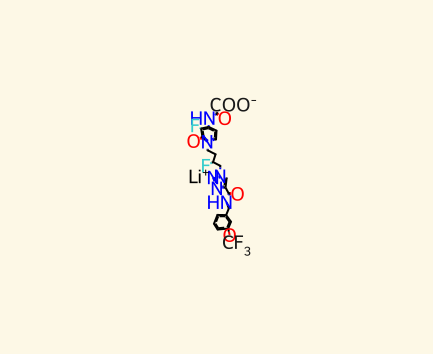 O=C([O-])C(=O)Nc1ccn(CCC(F)Cn2cc(C(=O)NCc3cccc(OC(F)(F)F)c3)nn2)c(=O)c1F.[Li+]